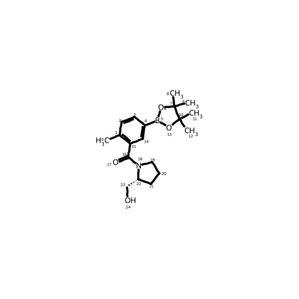 Cc1ccc(B2OC(C)(C)C(C)(C)O2)cc1C(=O)N1CCC[C@@H]1CO